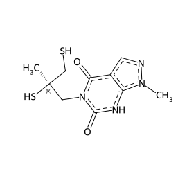 Cn1ncc2c(=O)n(C[C@@](C)(S)CS)c(=O)[nH]c21